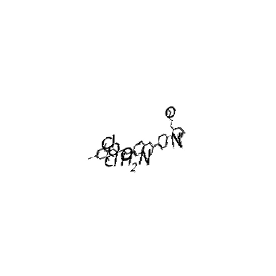 COCCCc1cccnc1-c1ccc(C(CN)Cc2ccc(OCCOc3c(Cl)cc(C)cc3Cl)cc2)cc1